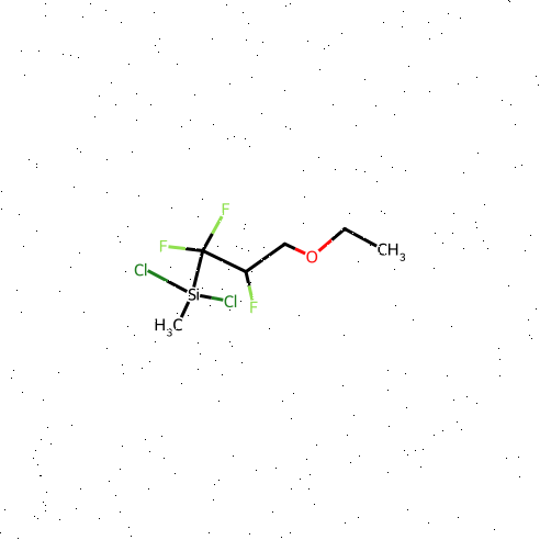 CCOCC(F)C(F)(F)[Si](C)(Cl)Cl